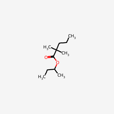 CCCC(C)(C)C(=O)OC(C)CC